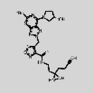 C#CCCC1(CCNC(=O)c2nonc2Cn2nc3nc(C(C)(C)C)nc(N4CC[C@H](O)C4)c3n2)NN1